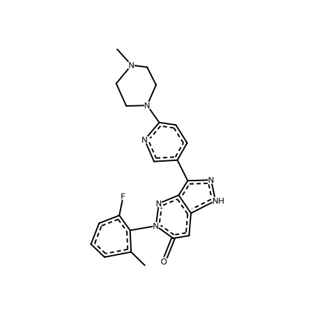 Cc1cccc(F)c1-n1nc2c(-c3ccc(N4CCN(C)CC4)nc3)n[nH]c2cc1=O